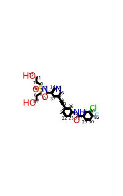 O=C(N=S(=O)(CCCO)CCCO)c1cncc(C#Cc2cccc(NC(=O)c3ccc(F)c(Cl)c3)c2)c1